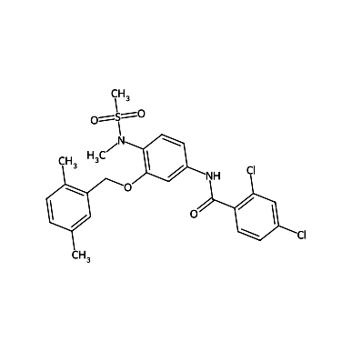 Cc1ccc(C)c(COc2cc(NC(=O)c3ccc(Cl)cc3Cl)ccc2N(C)S(C)(=O)=O)c1